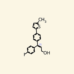 Cc1ccc(-c2ccc(/C(=C/CO)c3ccc(I)cc3)cc2)s1